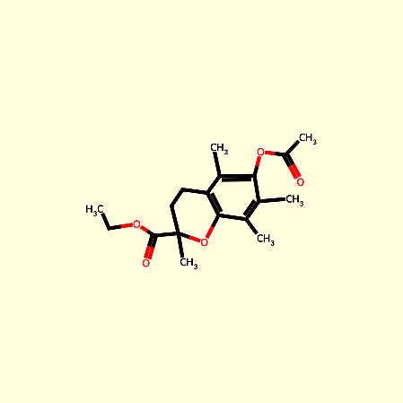 CCOC(=O)C1(C)CCc2c(C)c(OC(C)=O)c(C)c(C)c2O1